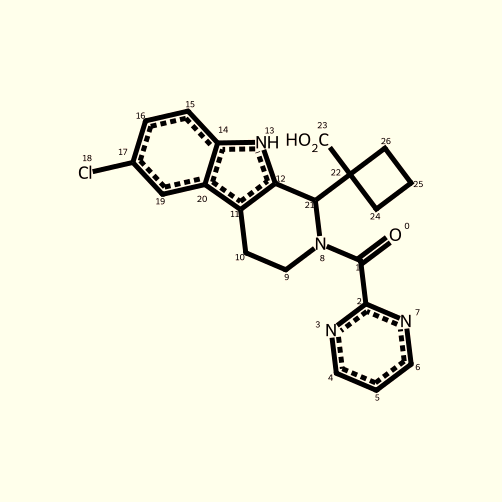 O=C(c1ncccn1)N1CCc2c([nH]c3ccc(Cl)cc23)C1C1(C(=O)O)CCC1